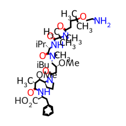 CC[C@H](C)[C@@H]([C@@H](CC(=O)N1CCC[C@H]1[C@H](OC)[C@@H](C)C(=O)N[C@@H](Cc1ccccc1)C(=O)O)OC)N(C)C(=O)[C@@H](NC(=O)C(C)(C)N(C)C(=O)CCC(C)(C)OCCN)C(C)C